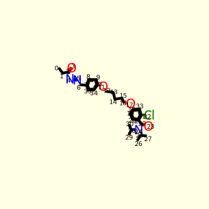 CCC(=O)N=NCc1ccc(OCCCCCOc2ccc(C(=O)N(C(C)C)C(C)C)c(Cl)c2)cc1